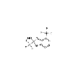 OC1(C(F)(F)F)N=c2cccc(C(F)(F)F)c2=N1